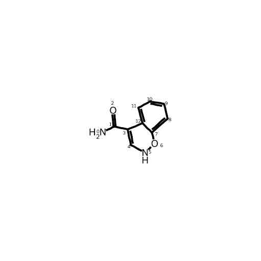 NC(=O)C1=CNOc2ccccc21